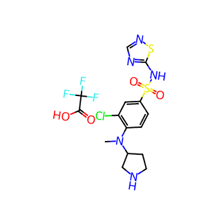 CN(c1ccc(S(=O)(=O)Nc2ncns2)cc1Cl)C1CCNC1.O=C(O)C(F)(F)F